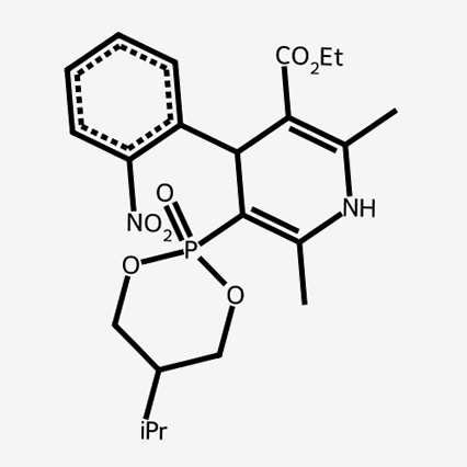 CCOC(=O)C1=C(C)NC(C)=C(P2(=O)OCC(C(C)C)CO2)C1c1ccccc1[N+](=O)[O-]